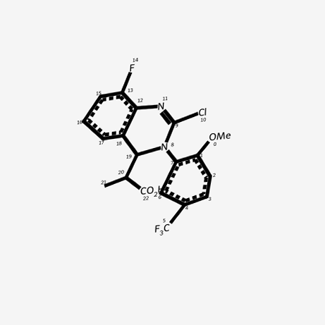 COc1ccc(C(F)(F)F)cc1N1C(Cl)=Nc2c(F)cccc2C1C(C)C(=O)O